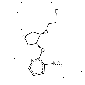 O=[N+]([O-])c1cccnc1O[C@H]1COC[C@H]1OCCF